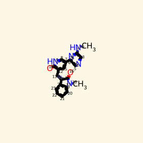 CNc1cncc(-c2c[nH]c(=O)c(/C=C3\C(=O)N(C)c4ccccc43)c2)n1